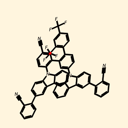 N#Cc1ccc(-n2c3ccccc3c3cc(-c4ccccc4C#N)ccc32)c(-c2cc(-n3c4ccccc4c4cc(-c5ccccc5C#N)ccc43)ccc2-c2ccc(C(F)(F)F)cc2C(F)(F)F)c1